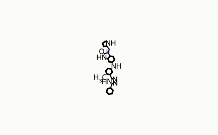 Cc1ccc(Nc2ccc3c(c2)NC(=O)/C3=C\c2ccc[nH]2)cc1-c1nnc(-c2ccccc2)[nH]1